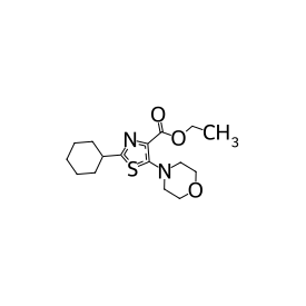 CCOC(=O)c1nc(C2CCCCC2)sc1N1CCOCC1